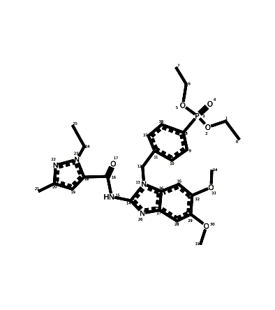 CCOP(=O)(OCC)c1ccc(Cn2c(NC(=O)c3cc(C)nn3CC)nc3cc(OC)c(OC)cc32)cc1